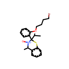 CC1c2ccccc2SC(c2ccccc2OCCCCBr)(C(C)C)[NH+]1[O-]